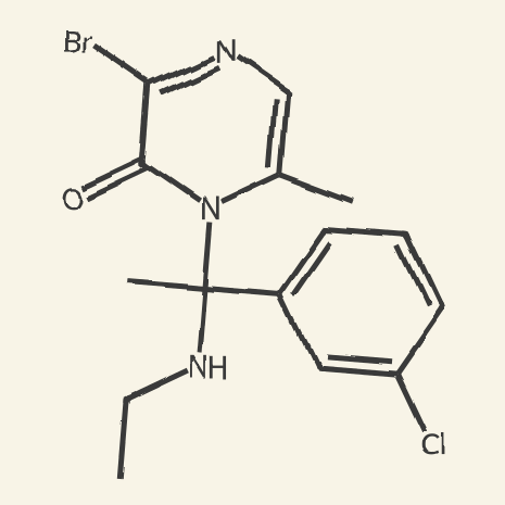 CCNC(C)(c1cccc(Cl)c1)n1c(C)cnc(Br)c1=O